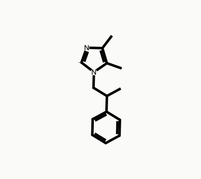 Cc1n[c]n(CC(C)c2ccccc2)c1C